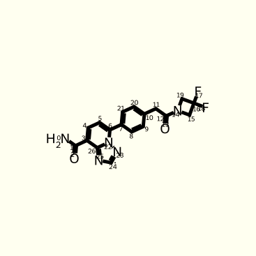 NC(=O)c1ccc(-c2ccc(CC(=O)N3CC(F)(F)C3)cc2)n2n[c]nc12